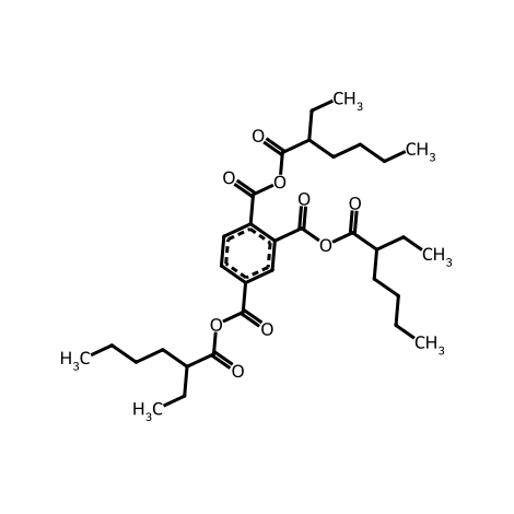 CCCCC(CC)C(=O)OC(=O)c1ccc(C(=O)OC(=O)C(CC)CCCC)c(C(=O)OC(=O)C(CC)CCCC)c1